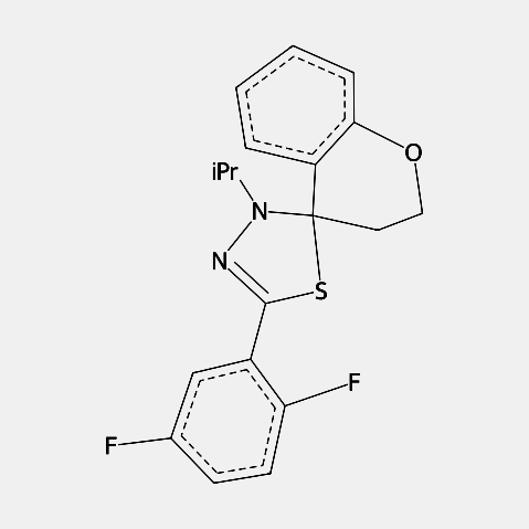 CC(C)N1N=C(c2cc(F)ccc2F)SC12CCOc1ccccc12